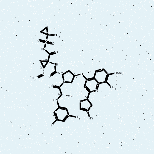 C=C[C@@H]1C[C@]1(NC(=O)[C@@H]1C[C@@H](Oc2cc(C3CC(C(C)C)=CS3)nc3c(C)c(OC)ccc23)CN1C(=O)[C@@H](Nc1cc(F)cc(C(F)(F)F)c1)C(C)(C)C)C(=O)NS(=O)(=O)C1(C)CC1